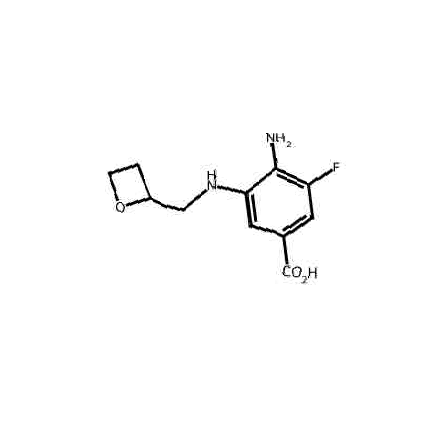 Nc1c(F)cc(C(=O)O)cc1NCC1CCO1